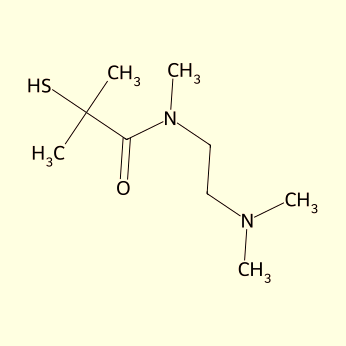 CN(C)CCN(C)C(=O)C(C)(C)S